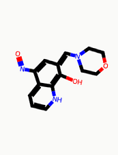 O=Nc1cc(=CN2CCOCC2)c(O)c2c1=CC=CN2